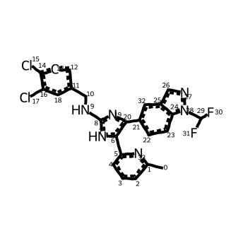 Cc1cccc(-c2[nH]c(NCc3ccc(Cl)c(Cl)c3)nc2-c2ccc3c(cnn3C(F)F)c2)n1